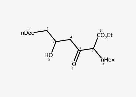 CCCCCCCCCCCC(O)CC(=O)C(CCCCCC)C(=O)OCC